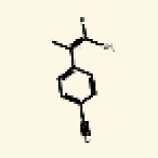 C/C(=C(/N)F)c1ccc(C#N)cc1